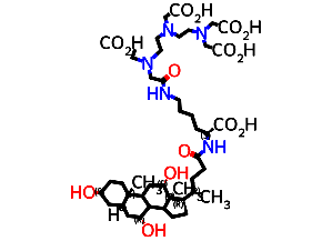 C[C@H](CCC(=O)N[C@@H](CCCCNC(=O)CN(CCN(CCN(CC(=O)O)CC(=O)O)CC(=O)O)CC(=O)O)C(=O)O)[C@H]1CCC2C3C(C[C@H](O)[C@@]21C)[C@@]1(C)CC[C@H](O)C[C@H]1C[C@H]3O